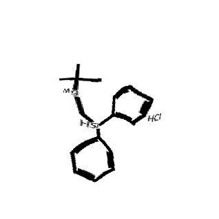 C[C](C)(C)[Mg][CH2][SiH](c1ccccc1)c1ccccc1.Cl